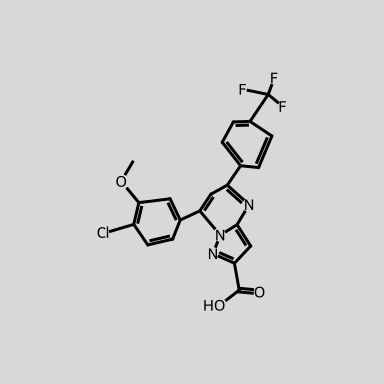 COc1cc(-c2cc(-c3ccc(C(F)(F)F)cc3)nc3cc(C(=O)O)nn23)ccc1Cl